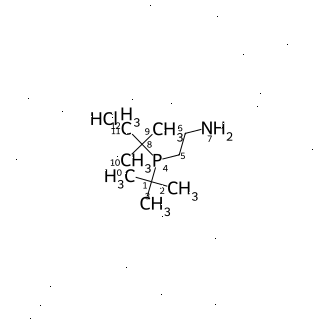 CC(C)(C)P(CCN)C(C)(C)C.Cl